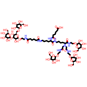 O=C(O)CCCCC(=O)NC(CCCCNC(=O)CCCCC(=O)NCCO[C@H]1O[C@H](CO[C@H]2O[C@H](CO)[C@@H](O)[C@H](O)[C@@H]2O)[C@@H](O)[C@H](O[C@H]2O[C@H](CO)[C@@H](O)[C@H](O)[C@@H]2O)[C@@H]1O)C(=O)NCCCCC(C(=O)NCCO[C@H]1O[C@H](CO)[C@@H](O)[C@H](O)[C@@H]1O)N(CC(=O)NCCO[C@H]1O[C@H](CO)[C@@H](O)[C@H](O)[C@@H]1O)CC(=O)NCCO[C@H]1O[C@H](CO)[C@@H](O)[C@H](O)[C@@H]1O